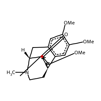 COC1=C[C@]23CCN(C)[C@H](Cc4cc(OC)c(OC)cc42)C3=CC1=O